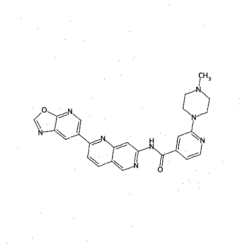 CN1CCN(c2cc(C(=O)Nc3cc4nc(-c5cnc6ocnc6c5)ccc4cn3)ccn2)CC1